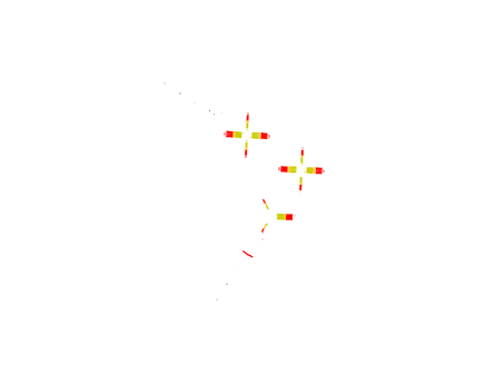 O=S(=O)([O-])[O-].O=S(=O)([O-])[O-].O=S([O-])O.[K+].[K+].[K+].[K+].[K+].[K+].[Na+].[O-][O-]